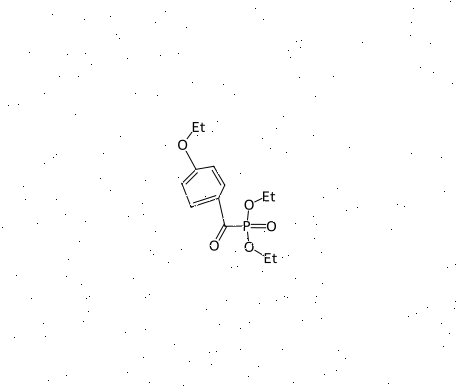 CCOc1ccc(C(=O)P(=O)(OCC)OCC)cc1